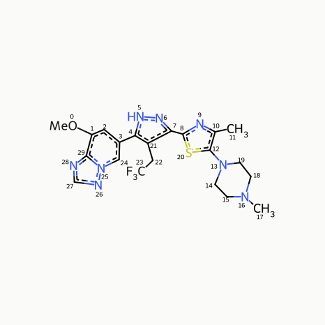 COc1cc(-c2[nH]nc(-c3nc(C)c(N4CCN(C)CC4)s3)c2CC(F)(F)F)cn2ncnc12